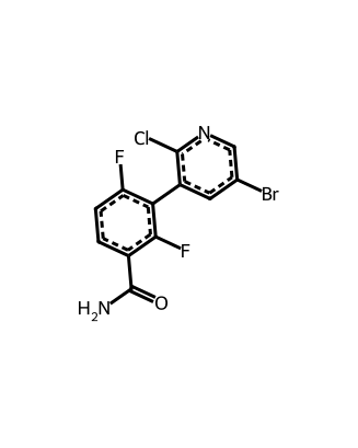 NC(=O)c1ccc(F)c(-c2cc(Br)cnc2Cl)c1F